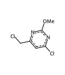 COc1nc(Cl)cc(CCl)n1